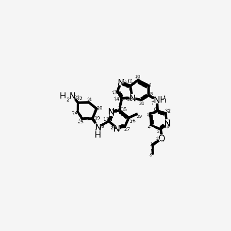 CCOc1ccc(Nc2ccc3ncc(-c4nc(NC5CCC(N)CC5)ncc4C)n3c2)cn1